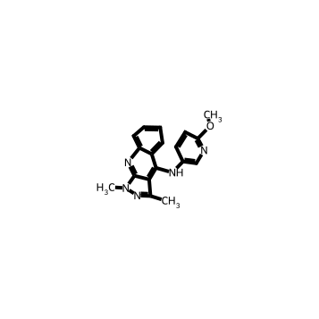 COc1ccc(Nc2c3ccccc3nc3c2c(C)nn3C)cn1